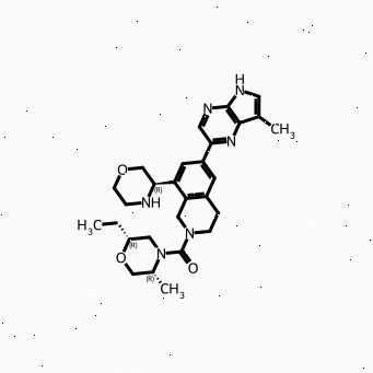 CC[C@@H]1CN(C(=O)N2CCc3cc(-c4cnc5[nH]cc(C)c5n4)cc([C@@H]4COCCN4)c3C2)[C@H](C)CO1